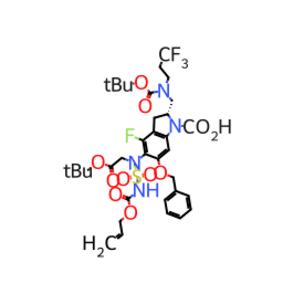 C=CCOC(=O)NS(=O)(=O)N(CC(=O)OC(C)(C)C)c1c(OCc2ccccc2)cc2c(c1F)C[C@H](CN(CCC(F)(F)F)C(=O)OC(C)(C)C)N2C(=O)O